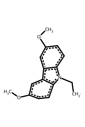 [CH2]Cn1c2ccc(OC)cc2c2cc(OC)ccc21